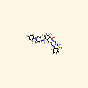 Cc1cc(C)c(C(=O)N2CCN(c3cccc(F)c3S(C)=N)CC2)c(C)c1NC1CCN(c2ccc(F)cc2C#N)CC1